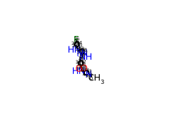 CCN1CCC(NS(=O)(=O)c2ccc(CNc3nccc(Nc4ccc(F)cc4)n3)cc2)CC1